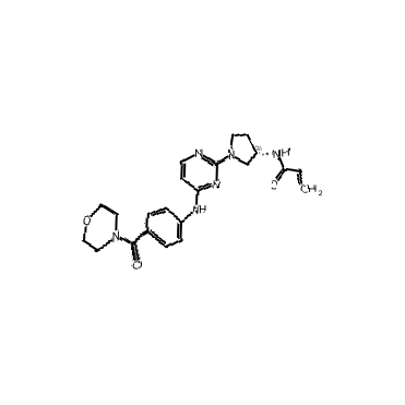 C=CC(=O)N[C@H]1CCN(c2nccc(Nc3ccc(C(=O)N4CCOCC4)cc3)n2)C1